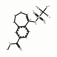 COC(=O)c1ccc2c(c1)CCCC=C2OS(=O)(=O)C(F)(F)F